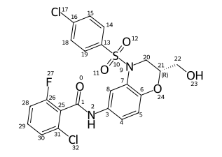 O=C(Nc1ccc2c(c1)N(S(=O)(=O)c1ccc(Cl)cc1)C[C@H](CO)O2)c1c(F)cccc1Cl